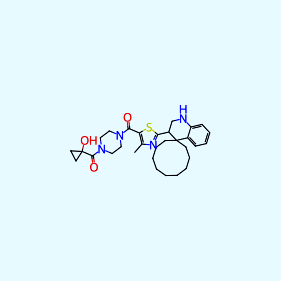 Cc1nc(C2CNc3ccccc3C23CCCCCCCCC3)sc1C(=O)N1CCN(C(=O)C2(O)CC2)CC1